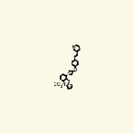 O=C(O)c1cccc(N2CC(Oc3ccc(/C=C/c4cccnc4)cc3)C2)c1Cn1cccc1